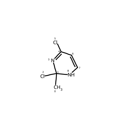 CC1(Cl)N=C(Cl)C=CN1